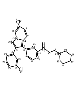 FC(F)(F)c1ccc2c(-c3ccnc(NCCN4CCCCC4)n3)c(-c3cccc(Cl)c3)nn2c1